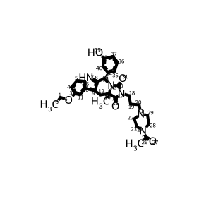 CCOc1ccc2[nH]c3c(c2c1)C[C@@]1(C)C(=O)N(CCCN2CCN(C(C)=O)CC2)C(=O)N1[C@@H]3c1cccc(O)c1